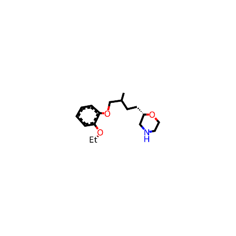 CCOc1ccccc1OCC(C)CC[C@H]1CNCCO1